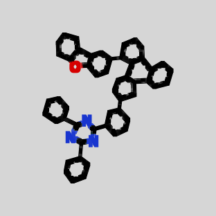 c1ccc(-c2nc(-c3ccccc3)nc(-c3cccc(-c4ccc5c(c4)c4ccccc4c4cccc(-c6ccc7oc8ccccc8c7c6)c45)c3)n2)cc1